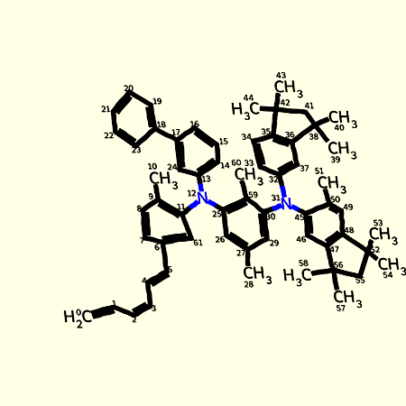 C=C/C=C\C=Cc1ccc(C)c(N(c2cccc(-c3ccccc3)c2)c2cc(C)cc(N(c3ccc4c(c3)C(C)(C)CC4(C)C)c3cc4c(cc3C)C(C)(C)CC4(C)C)c2C)c1